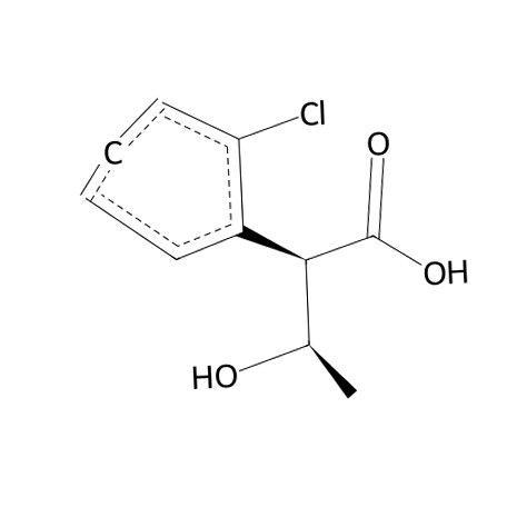 C[C@@H](O)[C@H](C(=O)O)c1ccccc1Cl